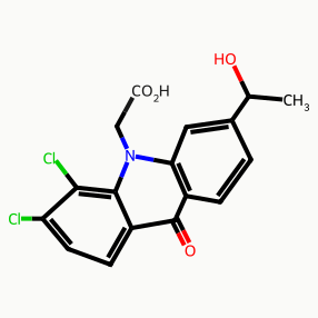 CC(O)c1ccc2c(=O)c3ccc(Cl)c(Cl)c3n(CC(=O)O)c2c1